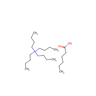 CCCCCC(=O)O.CCCC[N+](CCCC)(CCCC)CCCC